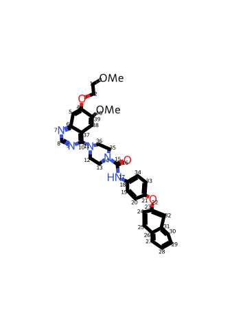 COCCOc1cc2ncnc(N3CCN(C(=O)Nc4ccc(Oc5ccc6ccccc6c5)cc4)CC3)c2cc1OC